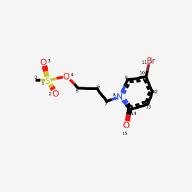 CS(=O)(=O)OCCCn1cc(Br)ccc1=O